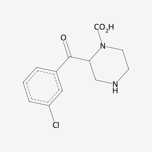 O=C(c1cccc(Cl)c1)C1CNCCN1C(=O)O